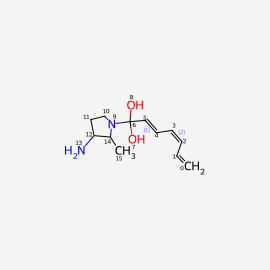 C=C/C=C\C=C\C(O)(O)N1CCC(N)C1C